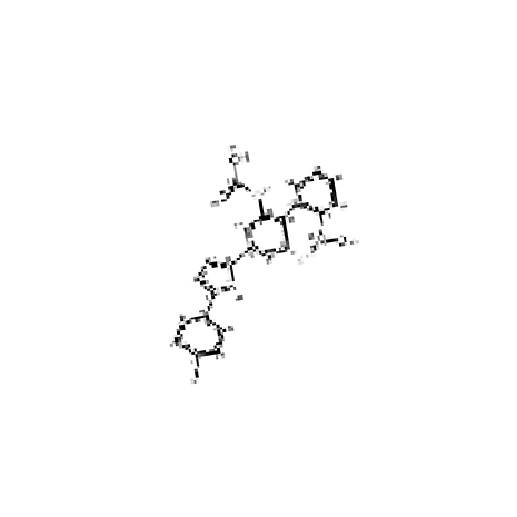 Cc1ccc(-c2csc(-c3ccc(-c4ccccc4[N+](=O)[O-])c(OC(=O)O)c3)n2)cc1